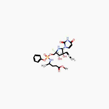 C=C=C[C@]1(O)[C@H](n2ccc(=O)[nH]c2=O)N[C@](F)(COP(=O)(NC(C)CCC(=O)OC(C)C)Oc2ccccc2)[C@H]1O